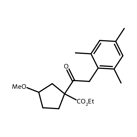 CCOC(=O)C1(C(=O)Cc2c(C)cc(C)cc2C)CCC(OC)C1